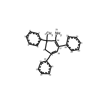 CC1(c2ccccc2)CC(c2ccccc2)=CC(c2ccccc2)=C1N